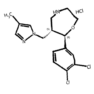 Cc1cnn(C[C@@H]2CNCCO[C@H]2c2ccc(Cl)c(Cl)c2)c1.Cl